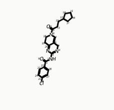 O=C(NC1=NCC2=CN(C(=O)CCC3CCCC3)CCC2=N1)c1ccc(Cl)cc1